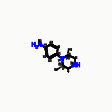 C[C@@H]1CNC[C@H](C)N1c1ccc(N)cc1